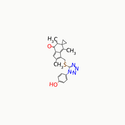 CC1=C(CSc2nnnn2-c2ccc(O)cc2)C2=C(C)C3(CC3)[C@H](C)C(=O)C2=C1